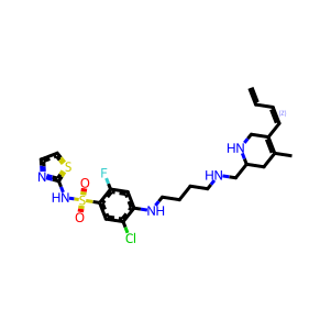 C=C/C=C\C1=C(C)CC(CNCCCCNc2cc(F)c(S(=O)(=O)Nc3nccs3)cc2Cl)NC1